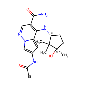 CCC(=O)Nc1cc2c(N[C@@H]3CC[C@@](C)(O)C3(C)C)c(C(N)=O)cnn2c1